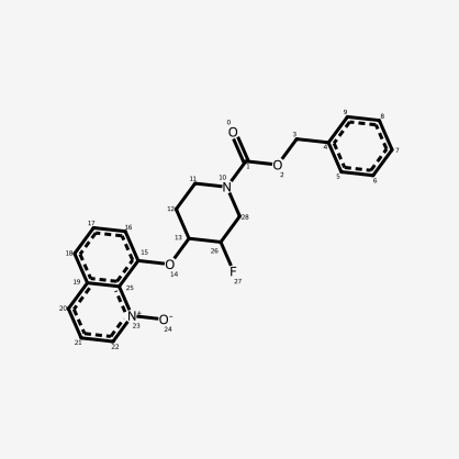 O=C(OCc1ccccc1)N1CCC(Oc2cccc3ccc[n+]([O-])c23)C(F)C1